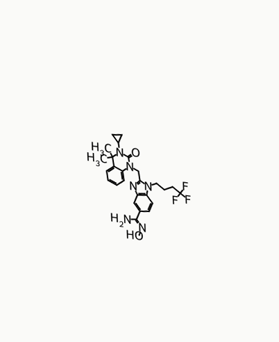 CC1(C)c2ccccc2N(Cc2nc3cc(/C(N)=N/O)ccc3n2CCCC(F)(F)F)C(=O)N1C1CC1